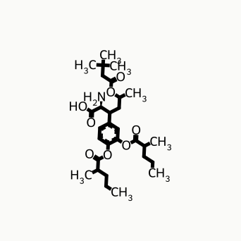 CCCC(C)C(=O)Oc1ccc(C(CC(C)OC(=O)CC(C)(C)C)[C@H](N)C(=O)O)cc1OC(=O)C(C)CCC